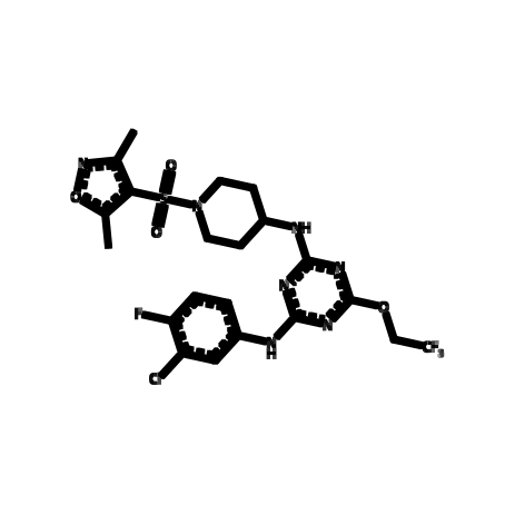 Cc1noc(C)c1S(=O)(=O)N1CCC(Nc2nc(Nc3ccc(F)c(Cl)c3)nc(OCC(F)(F)F)n2)CC1